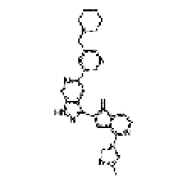 Cc1cn(-c2nccc3[nH]c(-c4n[nH]c5cnc(-c6cncc(CN7CCCCC7)c6)cc45)cc23)cn1